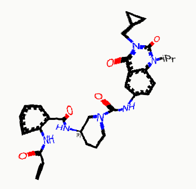 C=CC(=O)Nc1ccccc1C(=O)N[C@@H]1CCCN(C(=O)Nc2ccc3c(c2)c(=O)n(CC2CC2)c(=O)n3C(C)C)C1